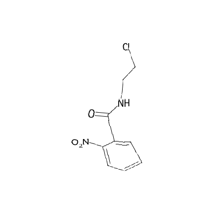 O=C(NCCCl)c1ccccc1[N+](=O)[O-]